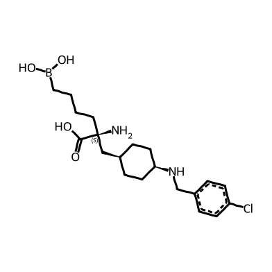 N[C@@](CCCCB(O)O)(C[C@H]1CC[C@@H](NCc2ccc(Cl)cc2)CC1)C(=O)O